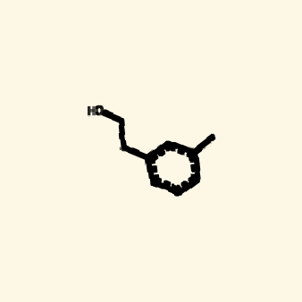 Cc1cccc([CH]CO)c1